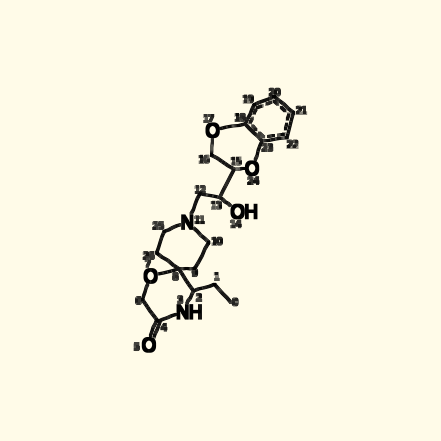 CCC1NC(=O)COC12CCN(CC(O)C1COc3ccccc3O1)CC2